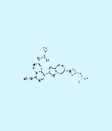 CNc1ncc(-c2nc3cc(N4CC(CC(F)F)C4)ccc3o2)c2cc(NC(=O)C3CC3)ncc12